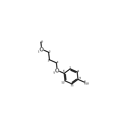 COCCCOc1ccc(I)cc1